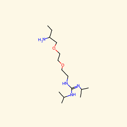 CCC(N)COCCOCCNC(=NC(C)C)NC(C)C